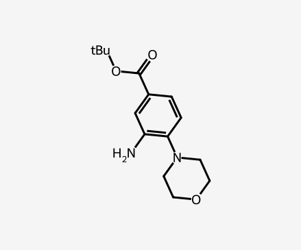 CC(C)(C)OC(=O)c1ccc(N2CCOCC2)c(N)c1